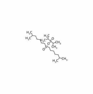 CC(C)CCCCC[S+]([O-])CCCCCC(C)C.CC(C)S(=O)(=O)C(C)C